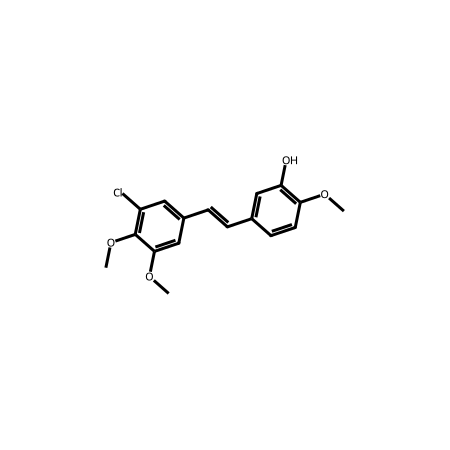 COc1ccc(/C=C/c2cc(Cl)c(OC)c(OC)c2)cc1O